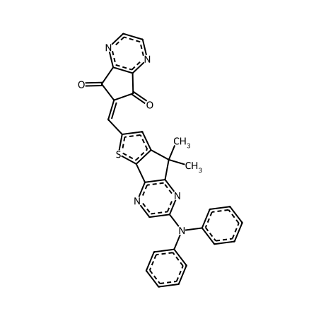 CC1(C)c2cc(C=C3C(=O)c4nccnc4C3=O)sc2-c2ncc(N(c3ccccc3)c3ccccc3)nc21